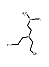 CN(N)CCN(CCO)CCO